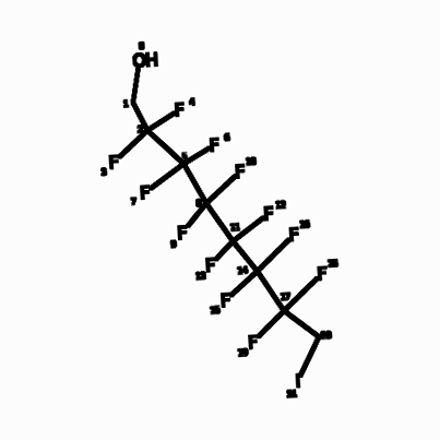 OCC(F)(F)C(F)(F)C(F)(F)C(F)(F)C(F)(F)C(F)(F)CI